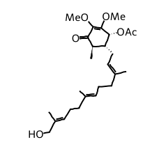 COC1=C(OC)[C@H](OC(C)=O)[C@H](C/C=C(\C)CC/C=C(\C)CC/C=C(\C)CO)[C@@H](C)C1=O